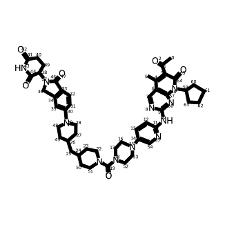 CC(=O)c1c(C)c2cnc(Nc3ccc(N4CCN(C(=O)N5CCC(CC6CCN(c7ccc8c(c7)CN(C7CCC(=O)NC7=O)C8=O)CC6)CC5)CC4)cn3)nc2n(C2CCCC2)c1=O